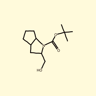 CC(C)(C)OC(=O)N1C(CO)CC2CCCC21